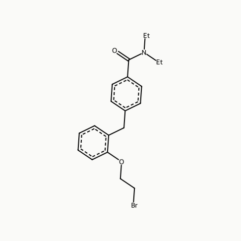 CCN(CC)C(=O)c1ccc(Cc2ccccc2OCCBr)cc1